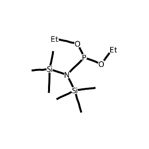 CCOP(OCC)N([Si](C)(C)C)[Si](C)(C)C